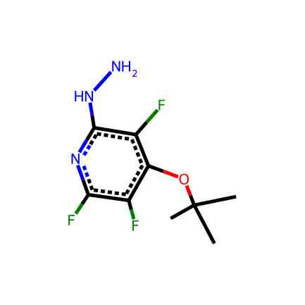 CC(C)(C)Oc1c(F)c(F)nc(NN)c1F